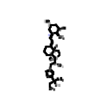 C=C1/C(=C\C=C2CCC[C@]3(C)[C@@H]([C@H](C)Cn4cc(C(C)(O)CC)nn4)CC[C@@H]23)C[C@H](O)C[C@H]1O